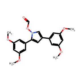 COc1cc(OC)cc(-c2cc(-c3cc(OC)cc(OC)c3)n(OC=O)c2)c1